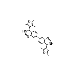 Cc1cc(C2NC=Nc3cc(-c4ccc5c(c4)N=CNC5c4c(C)sc(C)c4C)ccc32)c(C)s1